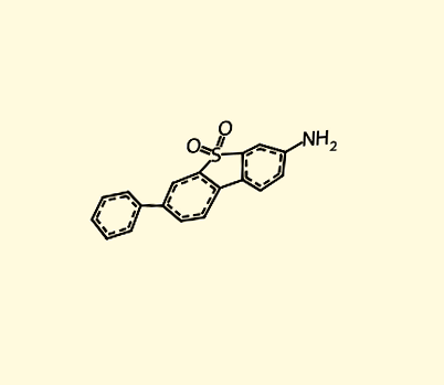 Nc1ccc2c(c1)S(=O)(=O)c1cc(-c3ccccc3)ccc1-2